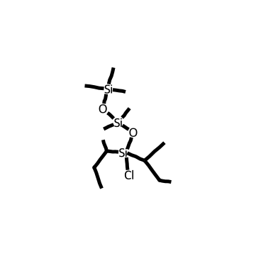 CCC(C)[Si](Cl)(O[Si](C)(C)O[Si](C)(C)C)C(C)CC